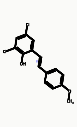 COc1ccc(/C=C/c2cc(Cl)cc(Cl)c2O)cc1